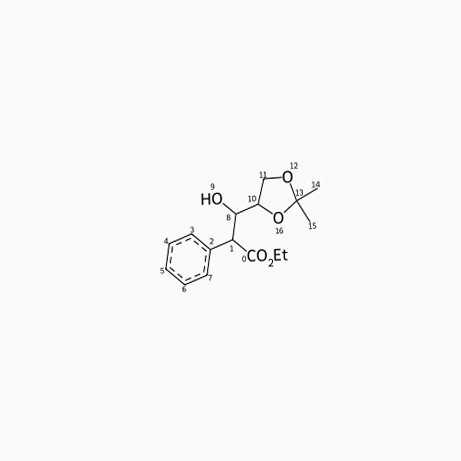 CCOC(=O)C(c1ccccc1)C(O)C1COC(C)(C)O1